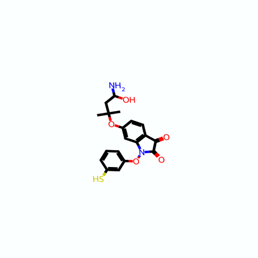 CC(C)(CC(N)O)Oc1ccc2c(c1)N(Oc1cccc(S)c1)C(=O)C2=O